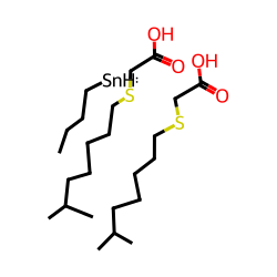 CC(C)CCCCCSCC(=O)O.CC(C)CCCCCSCC(=O)O.CCC[CH2][SnH]